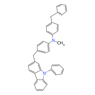 CN(c1ccc(Cc2ccccc2)cc1)c1ccc(Cc2ccc3c4ccccc4n(-c4ccccc4)c3c2)cc1